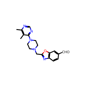 Cc1ncnc(N2CCN(Cc3nc4ccc(C=O)cc4o3)CC2)c1C